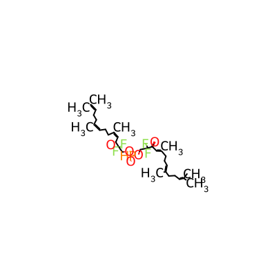 CC(C)=CCCC(C)=CCCC(C)=CC(=O)C(F)(F)CO[PH](=O)OCC(F)(F)C(=O)C=C(C)CCC=C(C)CCC=C(C)C